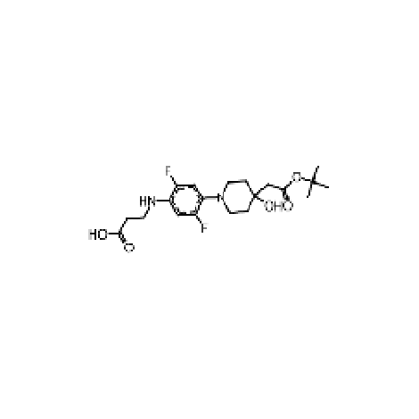 CC(C)(C)OC(=O)CC1(O)CCN(c2cc(F)c(NCCC(=O)O)cc2F)CC1